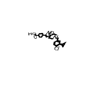 O=C(O)c1ccc(C2=NOC3(CCN(Cc4ccc(Cl)c(C5CC5)c4)CC3)C2)cc1